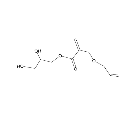 C=CCOCC(=C)C(=O)OCC(O)CO